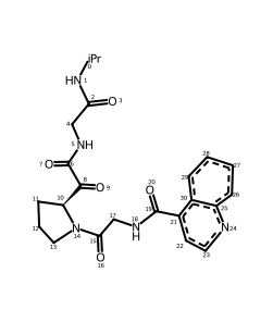 CC(C)NC(=O)CNC(=O)C(=O)[C@@H]1CCCN1C(=O)CNC(=O)c1ccnc2ccccc12